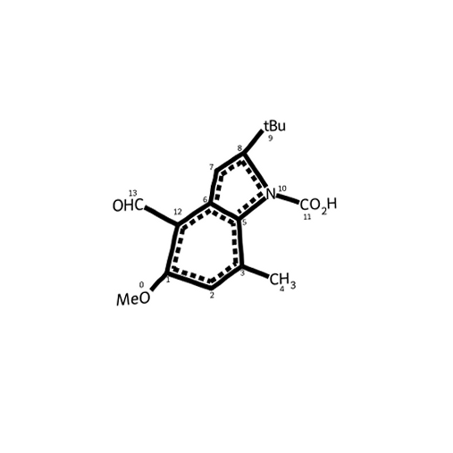 COc1cc(C)c2c(cc(C(C)(C)C)n2C(=O)O)c1C=O